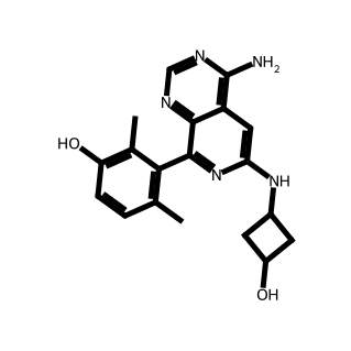 Cc1ccc(O)c(C)c1-c1nc(NC2CC(O)C2)cc2c(N)ncnc12